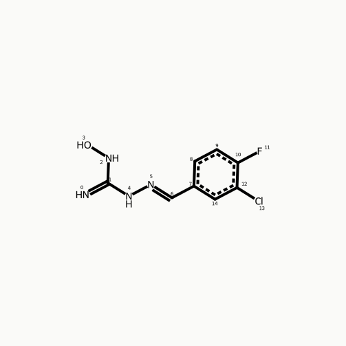 N=C(NO)N/N=C/c1ccc(F)c(Cl)c1